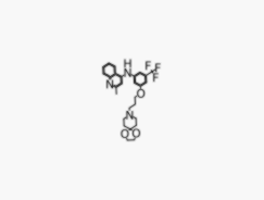 Cc1cc(Nc2cc(OCCCN3CCC4(CC3)OCCO4)cc(C(F)(F)F)c2)c2ccccc2n1